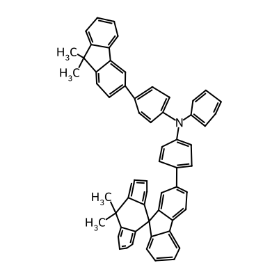 CC1(C)c2ccccc2-c2cc(-c3ccc(N(c4ccccc4)c4ccc(-c5ccc6c(c5)C5(c7ccccc7-6)c6ccccc6C(C)(C)c6ccccc65)cc4)cc3)ccc21